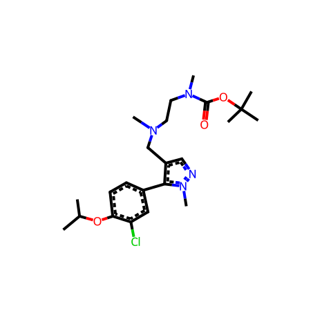 CC(C)Oc1ccc(-c2c(CN(C)CCN(C)C(=O)OC(C)(C)C)cnn2C)cc1Cl